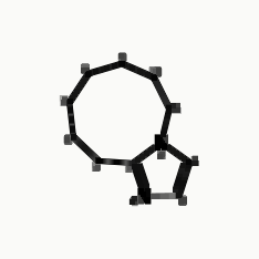 c1cn2c(n1)CCCCCCC2